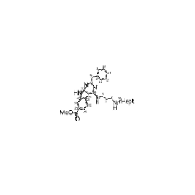 CCCCCCCNCCCNc1nc(Cc2ccccc2)nc2[nH]c3cc(C(=O)OC)ccc3c12